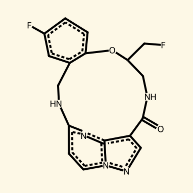 O=C1NCC(CF)Oc2ccc(F)cc2CNc2ccn3ncc1c3n2